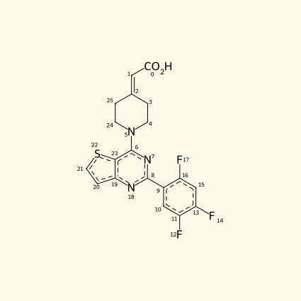 O=C(O)C=C1CCN(c2nc(-c3cc(F)c(F)cc3F)nc3ccsc23)CC1